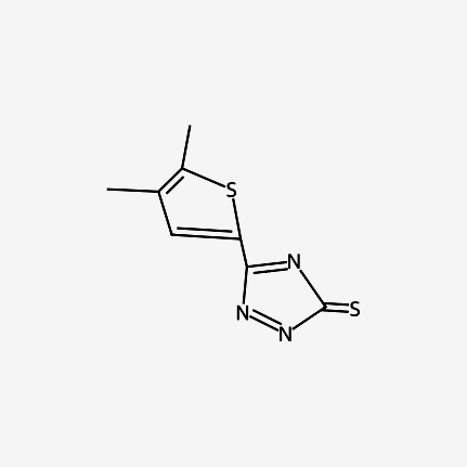 Cc1cc(C2=NC(=S)N=N2)sc1C